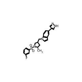 C[C@@H]1CC(Cn2ccc3cc(-c4cn[nH]c4)ccc32)CN1S(=O)(=O)c1cccc(F)c1